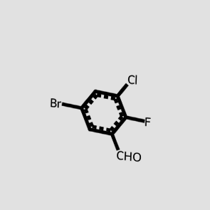 O=Cc1cc(Br)cc(Cl)c1F